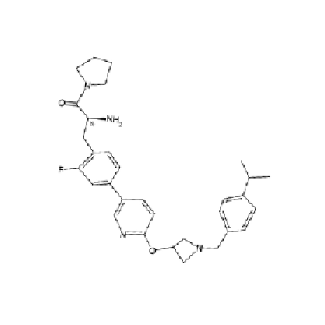 CC(C)c1ccc(CN2CC(Oc3ccc(-c4ccc(C[C@H](N)C(=O)N5CCCC5)c(F)c4)cn3)C2)cc1